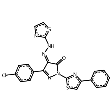 O=C1/C(=N\Nc2nccs2)C(c2ccc(Cl)cc2)=NN1c1nc(-c2ccccc2)cs1